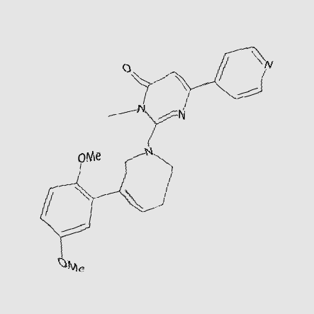 COc1ccc(OC)c(C2=CCCN(c3nc(-c4ccncc4)cc(=O)n3C)C2)c1